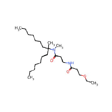 CCCCCCCC(C)(CCCCCCC)N(C)C(=O)CCNC(=O)CCOCC